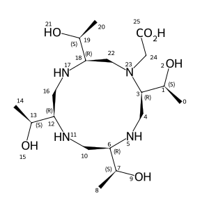 C[C@H](O)[C@H]1CN[C@@H]([C@H](C)O)CN[C@@H]([C@H](C)O)CN[C@@H]([C@H](C)O)CN1CC(=O)O